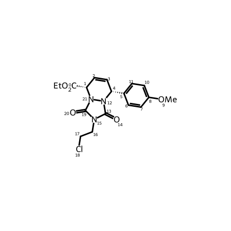 CCOC(=O)[C@@H]1C=C[C@H](c2ccc(OC)cc2)n2c(=O)n(CCCl)c(=O)n21